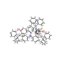 c1ccc2c(c1)Oc1ccccc1C21c2ccccc2-c2ccc(N(c3ccc4c(c3)C3(c5ccccc5Oc5ccccc53)c3ccccc3-4)c3ccc4c(c3)C3(c5ccccc5Sc5ccccc53)c3ccccc3-4)cc21